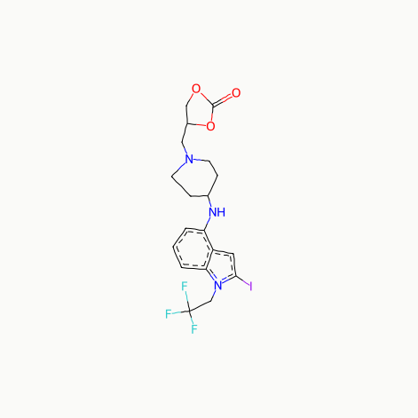 O=C1OCC(CN2CCC(Nc3cccc4c3cc(I)n4CC(F)(F)F)CC2)O1